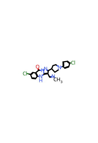 C/N=C/c1c(C2CCN(c3ccc(Cl)cc3)CC2)nn2c(=O)c3cc(Cl)ccc3[nH]c12